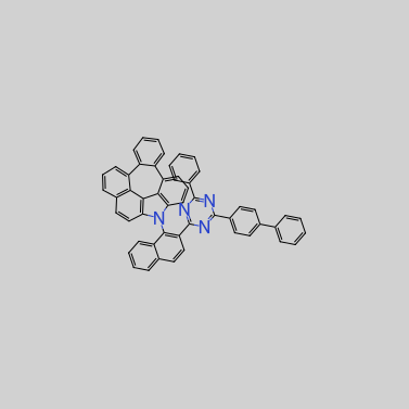 c1ccc(-c2ccc(-c3nc(-c4ccccc4)nc(-c4ccc5ccccc5c4-n4c5cccc6c5c5c7c(cccc7ccc54)-c4ccccc4-6)n3)cc2)cc1